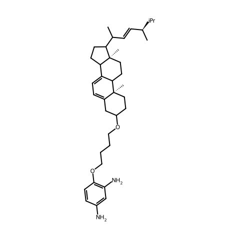 CC(/C=C/[C@H](C)C(C)C)C1CCC2C3=CC=C4CC(OCCCCOc5ccc(N)cc5N)CC[C@]4(C)C3CC[C@@]21C